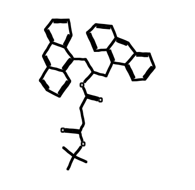 CC(C)(C)OC(=O)CCC(=O)OC(Cc1c2ccccc2cc2ccccc12)Cc1c2ccccc2cc2ccccc12